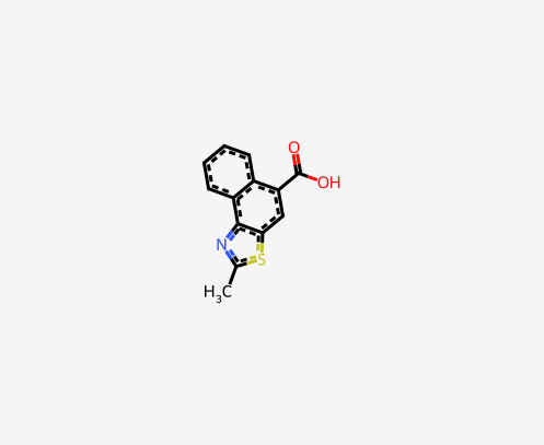 Cc1nc2c(cc(C(=O)O)c3ccccc32)s1